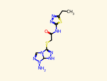 CCc1nnc(NC(=O)CSC2=NNC3N(N)N=CN23)s1